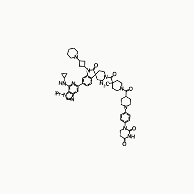 CC(C)n1cnc2cc(-c3ccc4c(c3)N(C3CC(N5CCCCC5)C3)C(=O)C43CCN(C(=O)C4(C)CCN(C(=O)C5CCN(c6ccc(N7CCC(=O)NC7=O)cc6)CC5)CC4)CC3)nc(NC3CC3)c21